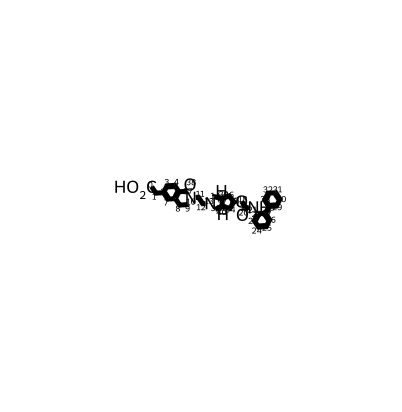 O=C(O)Cc1ccc2c(c1)CCN(CCN1C[C@H]3C[C@H](OC(=O)Nc4ccccc4-c4ccccc4)C[C@H]3C1)C2=O